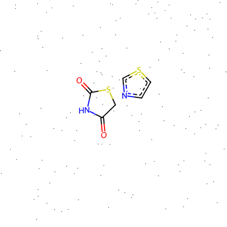 O=C1CSC(=O)N1.c1cscn1